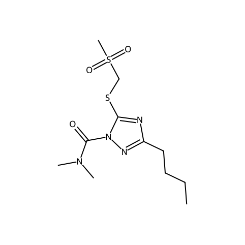 CCCCc1nc(SCS(C)(=O)=O)n(C(=O)N(C)C)n1